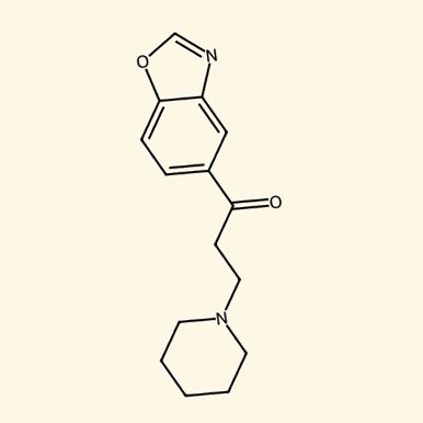 O=C(CCN1CCCCC1)c1ccc2ocnc2c1